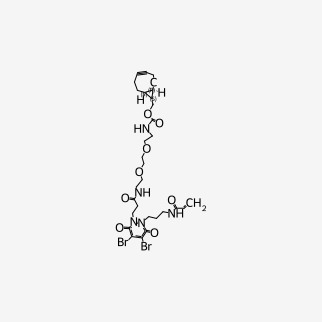 C=CC(=O)NCCCn1c(=O)c(Br)c(Br)c(=O)n1CCC(=O)NCCOCCOCCNC(=O)OC[C@@H]1[C@@H]2CCC#CCC[C@@H]21